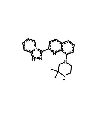 CC1(C)CN(c2cccc3ccc(-c4nnc5ccccn45)nc23)CCN1